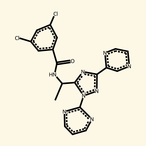 CC(NC(=O)c1cc(Cl)cc(Cl)c1)c1nc(-c2cnccn2)nn1-c1ncccn1